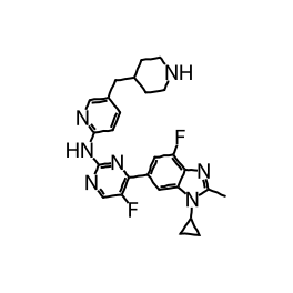 Cc1nc2c(F)cc(-c3nc(Nc4ccc(CC5CCNCC5)cn4)ncc3F)cc2n1C1CC1